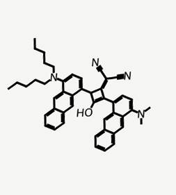 CCCCCN(CCCCC)c1ccc(C2C(O)=C(c3ccc(N(C)C)c4cc5ccccc5cc34)C2=C(C#N)C#N)c2cc3ccccc3cc12